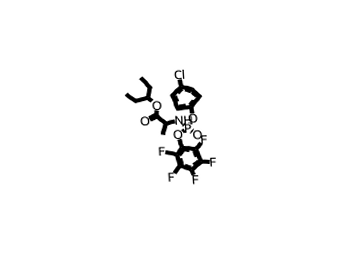 CCC(CC)OC(=O)C(C)NP(=O)(Oc1ccc(Cl)cc1)Oc1c(F)c(F)c(F)c(F)c1F